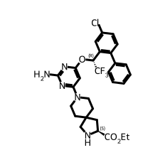 CCOC(=O)[C@@H]1CC2(CCN(c3cc(O[C@H](c4cc(Cl)ccc4-c4ccccc4)C(F)(F)F)nc(N)n3)CC2)CN1